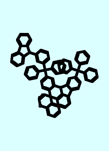 c1ccc([Si](c2ccccc2)(c2cccc(-n3c4ccccc4c4ccccc43)c2)c2ccc3c(c2)-n2c4cc([Si](c5ccccc5)(c5ccccc5)c5ccccc5)ccc4c4cccc(c42)C32c3ccccc3Oc3ccccc32)cc1